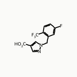 O=C(O)c1cnn(Cc2cc(F)ccc2C(F)(F)F)c1